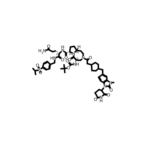 CC(C)S(=O)(=O)c1ccc(CNC(=O)[C@H](CCC(N)=O)NC(=O)[C@@H]2CC[C@@H]3CCN(C(=O)CC4CCC(Cc5ccc6c(c5)n(C)c(=O)n6C5CCC(=O)NC5=O)CC4)C[C@H](NC(=O)OC(C)(C)C)C(=O)N32)cc1